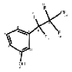 Oc1cccc(C(F)(F)C(F)(F)C(F)(F)F)c1